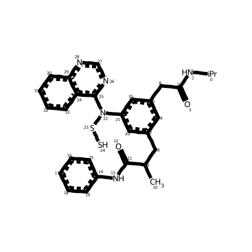 CC(C)NC(=O)Cc1cc(CC(C)C(=O)Nc2ccccc2)cc(N(SS)c2ncnc3ccccc23)c1